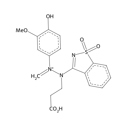 C=[N+](c1ccc(O)c(OC)c1)N(CCC(=O)O)C1=NS(=O)(=O)c2ccccc21